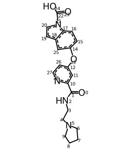 O=C(NCCN1CCCC1)c1cc(Oc2ccc3c(ccn3C(=O)O)c2)ccn1